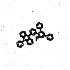 Fc1cc(-c2ccccc2)cc(-c2ccccc2)c1-c1cccc(-c2c3ccccc3c(-c3ccccc3)c3ccccc23)c1